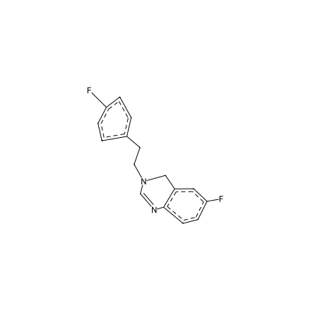 Fc1ccc(CCN2C=Nc3ccc(F)cc3C2)cc1